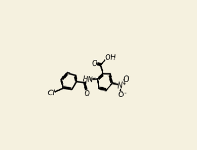 O=C(Nc1ccc([N+](=O)[O-])cc1C(=O)O)c1cccc(Cl)c1